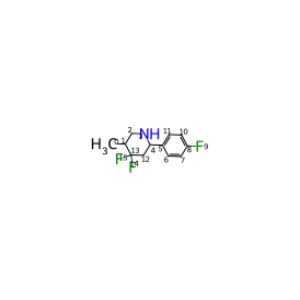 CC1CNC(c2ccc(F)cc2)CC1(F)F